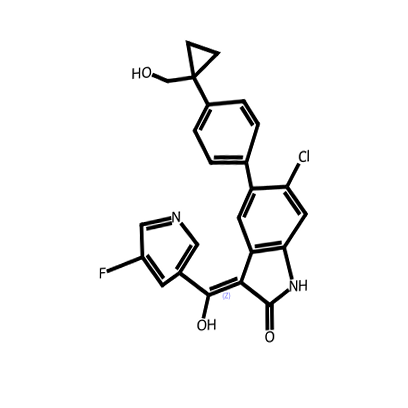 O=C1Nc2cc(Cl)c(-c3ccc(C4(CO)CC4)cc3)cc2/C1=C(/O)c1cncc(F)c1